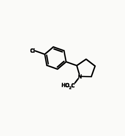 O=C(O)N1CCCC1c1ccc(Cl)cc1